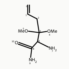 C=CCC(OC)(OC)C(N)C(N)=O